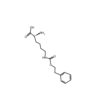 N[C@@H](CCCCNC(=O)OCCc1ccccc1)C(=O)O